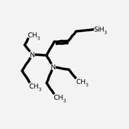 CCN(CC)C(C=CC[SiH3])N(CC)CC